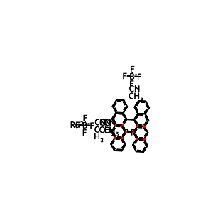 CC#N.CC#N.CC#N.CC#N.F[B-](F)(F)F.F[B-](F)(F)F.[Ru+2].c1ccc(P(c2ccccc2)c2ccc3ccccc3c2-c2c(P(c3ccccc3)c3ccccc3)ccc3ccccc23)cc1